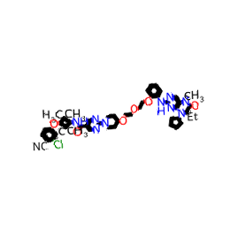 CC[C@@H]1C(=O)N(C)c2cnc(Nc3ccccc3OCCOCCOC3CCN(c4ncc(C(=O)NC5C(C)(C)C(Oc6ccc(C#N)c(Cl)c6)C5(C)C)cn4)CC3)nc2N1C1CCCC1